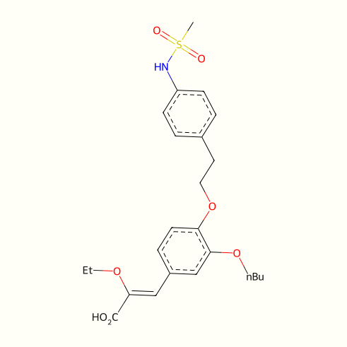 CCCCOc1cc(C=C(OCC)C(=O)O)ccc1OCCc1ccc(NS(C)(=O)=O)cc1